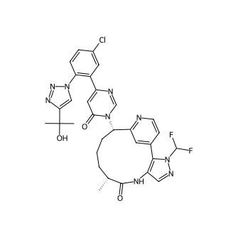 C[C@@H]1CCC[C@H](n2cnc(-c3cc(Cl)ccc3-n3cc(C(C)(C)O)nn3)cc2=O)c2cc(ccn2)-c2c(cnn2C(F)F)NC1=O